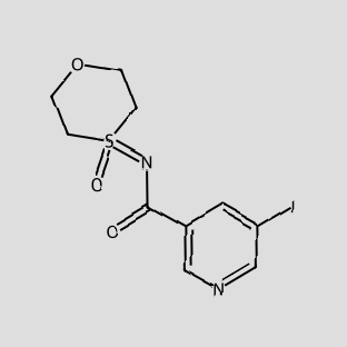 O=C(N=S1(=O)CCOCC1)c1cncc(I)c1